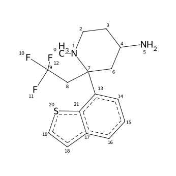 CN1CCC(N)CC1(CC(F)(F)F)c1cccc2ccsc12